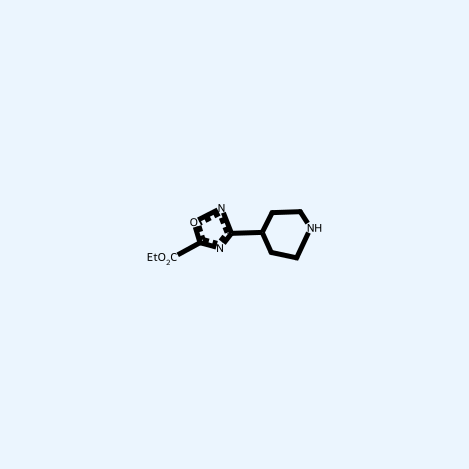 CCOC(=O)c1nc(C2CCNCC2)no1